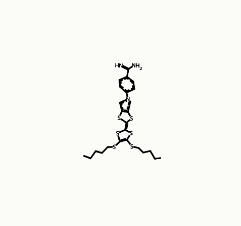 CCCCCSC1=C(SCCCCC)SC(=C2Sc3cn(-c4ccc(C(=N)N)cc4)cc3S2)S1